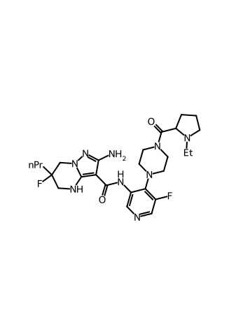 CCCC1(F)CNc2c(C(=O)Nc3cncc(F)c3N3CCN(C(=O)C4CCCN4CC)CC3)c(N)nn2C1